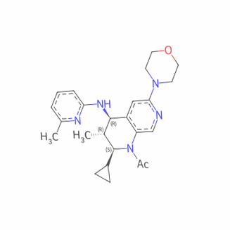 CC(=O)N1c2cnc(N3CCOCC3)cc2[C@H](Nc2cccc(C)n2)[C@@H](C)[C@@H]1C1CC1